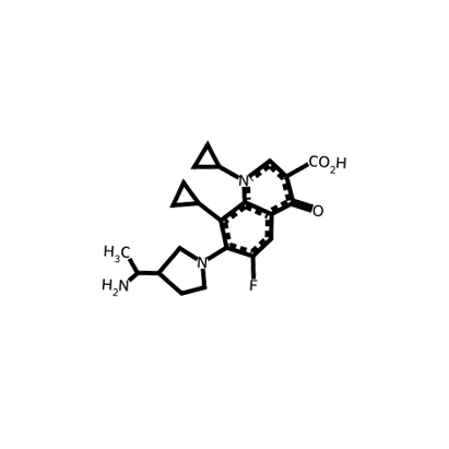 CC(N)C1CCN(c2c(F)cc3c(=O)c(C(=O)O)cn(C4CC4)c3c2C2CC2)C1